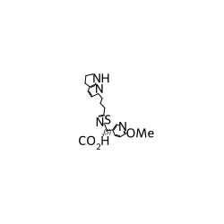 COc1ccc([C@H](CC(=O)O)c2ncc(CCCc3ccc4c(n3)NCCC4)s2)cn1